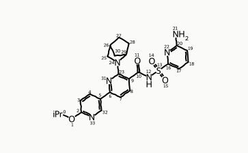 CC(C)Oc1ccc(-c2ccc(C(=O)NS(=O)(=O)c3cccc(N)n3)c(N3CC4CCC3C4)n2)cn1